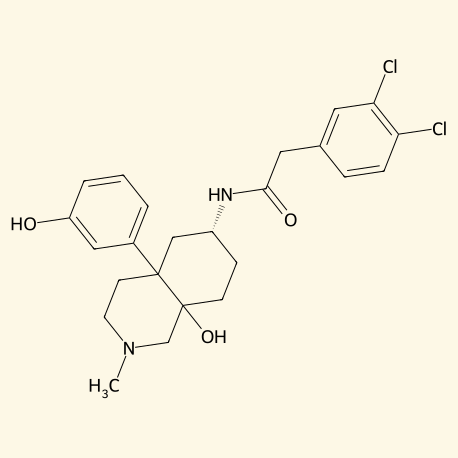 CN1CCC2(c3cccc(O)c3)C[C@H](NC(=O)Cc3ccc(Cl)c(Cl)c3)CCC2(O)C1